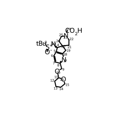 CC(C)(C)[S@@+]([O-])/N=C1\c2ccc(COC3CCCCO3)nc2CC12CCN(C(=O)O)CC2